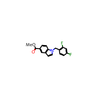 COC(=O)c1ccc2c(ccn2Cc2ccc(F)cc2F)c1